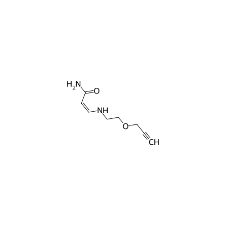 C#CCOCCN/C=C\C(N)=O